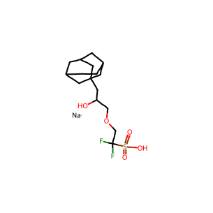 O=S(=O)(O)C(F)(F)COCC(O)CC12CC3CC(CC(C3)C1)C2.[Na]